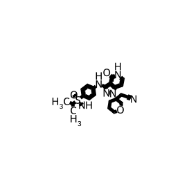 CC(C)S(=N)(=O)c1ccc(Nc2nn(C3(CC#N)CCCOC3)c3cc[nH]c(=O)c23)cc1